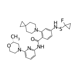 C[C@@H]1CN(c2cccc(NC(=O)c3ccc(NSC4(F)CC4)cc3N3CCC4(CC3)CC4)n2)CCO1